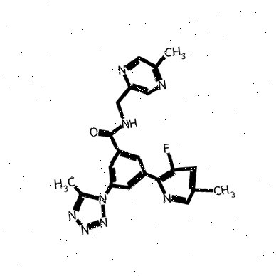 Cc1cnc(-c2cc(C(=O)NCc3cnc(C)cn3)cc(-n3nnnc3C)c2)c(F)c1